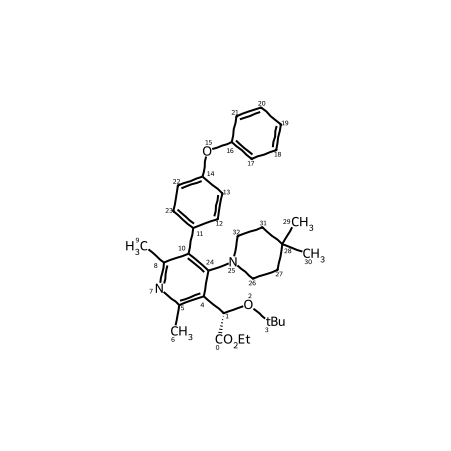 CCOC(=O)[C@@H](OC(C)(C)C)c1c(C)nc(C)c(-c2ccc(Oc3ccccc3)cc2)c1N1CCC(C)(C)CC1